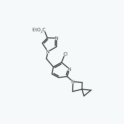 CCOC(=O)c1cn(Cc2ccc(N3CC4(CC4)C3)nc2Cl)cn1